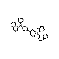 CC1=CC=CCC1N(c1cccc2ccccc12)[C@H]1B=CC=C(C2=CCC(N(c3ccccc3)c3cccc4ccccc34)C=C2)C=C1